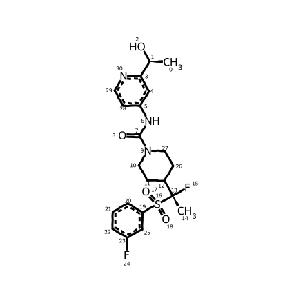 C[C@H](O)c1cc(NC(=O)N2CCC([C@](C)(F)S(=O)(=O)c3cccc(F)c3)CC2)ccn1